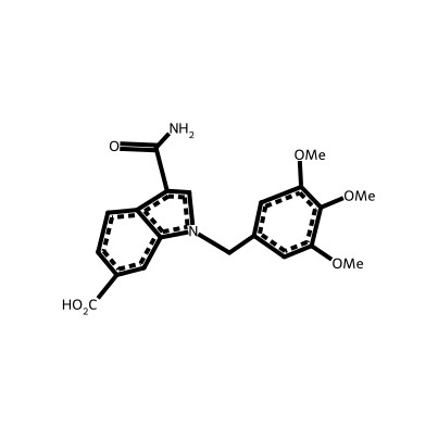 COc1cc(Cn2cc(C(N)=O)c3ccc(C(=O)O)cc32)cc(OC)c1OC